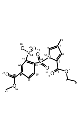 CCOC(=O)c1cc(C)cn1S(=O)(=O)c1ccc(C(=O)OC)cc1[N+](=O)[O-]